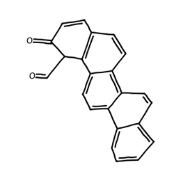 O=CC1C(=O)C=Cc2ccc3c(ccc4c5ccccc5ccc34)c21